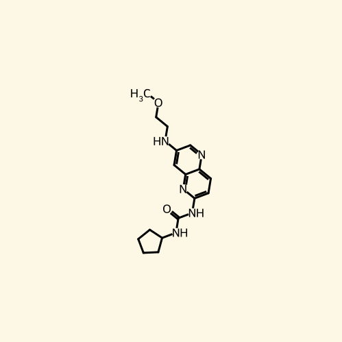 COCCNc1cnc2ccc(NC(=O)NC3CCCC3)nc2c1